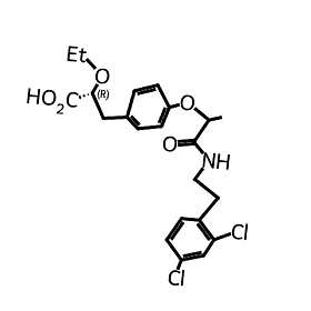 CCO[C@H](Cc1ccc(OC(C)C(=O)NCCc2ccc(Cl)cc2Cl)cc1)C(=O)O